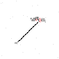 C#CC#CC#CC#CC#CC#CC#CC#CC#CC#CC#C[C@H]1OC(C)(C)O[C@H]1[C@H](CC)O[Si](C)(C)C(C)(C)C